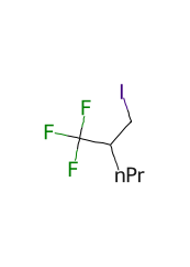 CCCC(CI)C(F)(F)F